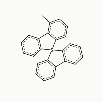 Cc1cccc2c1-c1ccccc1S21c2ccccc2-c2ccccc21